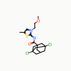 COCCn1cc(C)sc1=NC(=O)C12CC3CC(Cl)(CC(Cl)(C3)C1)C2